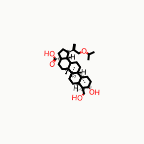 C=C(COC(C)C)[C@@H]1CC[C@]2(C(=O)O)CC[C@]3(C)C(CC[C@@H]4[C@@]5(C)CC[C@H](O)[C@@](C)(CO)[C@@H]5CC[C@]43C)[C@@H]12